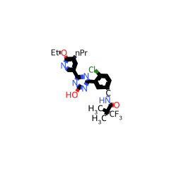 CCCc1cc(-c2nc(O)nc(-c3cc(CNC(=O)C(C)(C)C(F)(F)F)ccc3Cl)n2)cnc1OCC